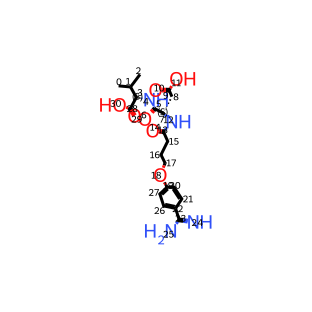 CC(C)[C@H](NC(=O)[C@H](CC(=O)O)NC(=O)CCCOc1ccc(C(=N)N)cc1)C(=O)O